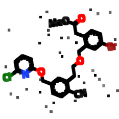 COC(=O)Cc1ccc(Br)cc1COCCc1cc(COc2cccc(Cl)n2)ccc1C#N